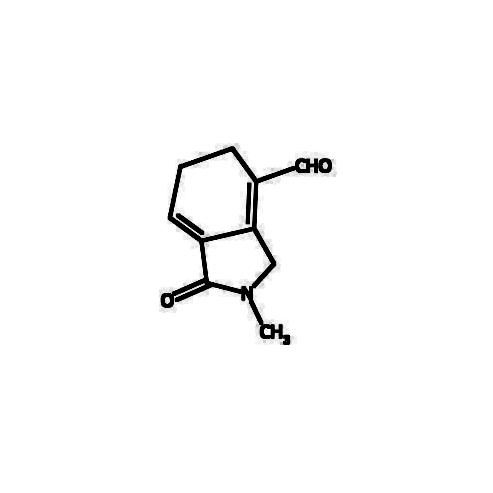 CN1CC2=C(C=O)CCC=C2C1=O